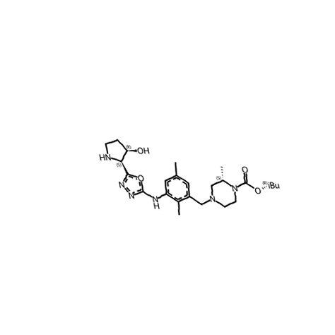 CC[C@@H](C)OC(=O)N1CCN(Cc2cc(C)cc(Nc3nnc([C@H]4NCC[C@H]4O)o3)c2C)C[C@@H]1C